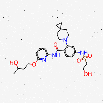 CC(O)CCOc1cccc(NC(=O)c2ccc(NS(=O)(=O)CCO)cc2N2CCC3(CC2)CC3)n1